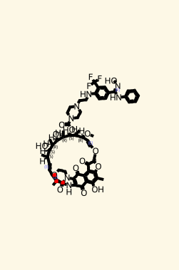 CO[C@H]1/C=C/O[C@@]2(C)Oc3c(C)c(O)c4c(c3C2=O)C(=O)C(N2CCOCC2)=C(NC(=O)/C(C)=C\C=C\[C@H](C)[C@H](O)[C@@H](C)[C@@H](O)[C@@H](C)[C@H](OC(=O)N2CCN(CCNc3ccc(/C(=N\O)Nc5ccccc5)cc3C(F)(F)F)CC2)[C@@H]1C)C4=O